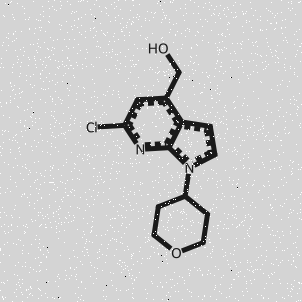 OCc1cc(Cl)nc2c1ccn2C1CCOCC1